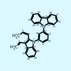 C=Cc1c(/C=C\C)n(-c2cccc(-n3c4ccccc4c4ccccc43)c2)c2ccccc12